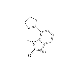 Cn1c(=O)[nH]c2cccc(C3=CCCC3)c21